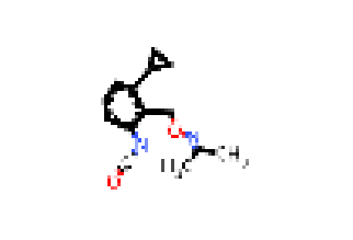 CC(C)=NOCc1c(N=C=O)cccc1C1CC1